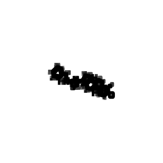 CN1C(=O)C=C[C@@]2(C)C1CC[C@@H]1[C@H]2CC[C@]2(C)C(c3csc(NCc4ccccc4)n3)CC[C@@H]12